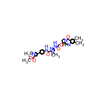 COC(=O)c1cc(-c2ccc(NC(=O)c3nc(NC(=O)CO[C@H]4CCN5C(=O)c6cc(C)c(C)cc6N=C[C@H]45)cn3C)cc2)cn1C